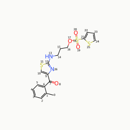 Cc1ccccc1C(=O)c1csc(NCCCOS(=O)(=O)c2cccs2)n1